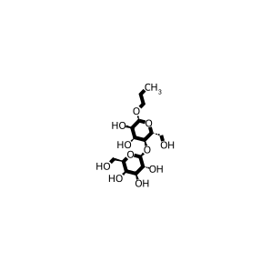 CCCO[C@@H]1O[C@H](CO)[C@@H](O[C@@H]2O[C@H](CO)[C@H](O)[C@H](O)[C@H]2O)[C@H](O)[C@H]1O